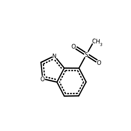 CS(=O)(=O)c1cccc2ocnc12